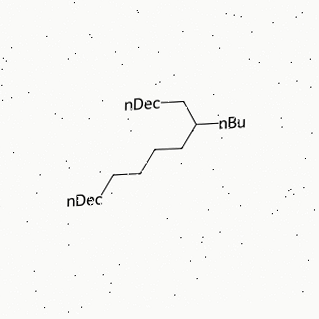 [CH2]CCCC(CCCCCCCCCCC)CCCCCCCCCCCCCC